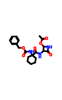 CC(=O)OC1NC(=O)C1NC(=O)C1(NC(=O)OCc2ccccc2)CCCCC1